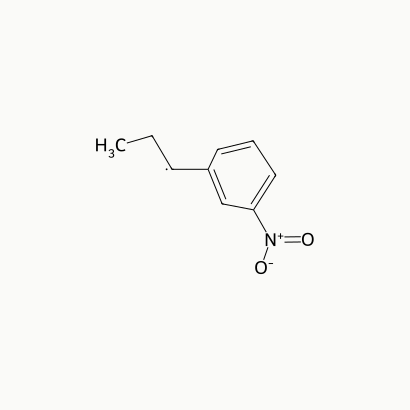 CC[CH]c1cccc([N+](=O)[O-])c1